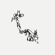 Cc1nc(N2CCN(CC3CCN(c4ccc(NC5CCC(=O)NC5=O)cc4)CC3)CC2)sc1-c1cnc(N)c(O[C@@H](C)c2cc(F)ccc2-n2nccn2)c1